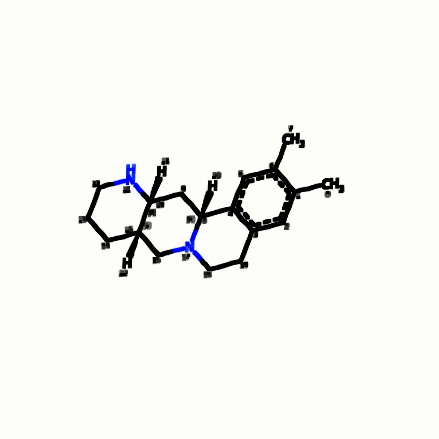 Cc1cc2c(cc1C)[C@H]1C[C@H]3NCCC[C@H]3CN1CC2